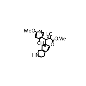 COC(=O)C(C)C(c1ccc2c(c1)CNCC2)c1cnc(OC)cc1C